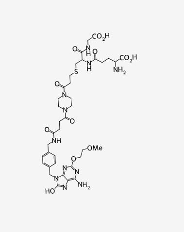 COCCOc1nc(N)c2nc(O)n(Cc3ccc(CNC(=O)CCC(=O)N4CCN(C(=O)CCSCC(NC(=O)CCC(N)C(=O)O)C(=O)NCC(=O)O)CC4)cc3)c2n1